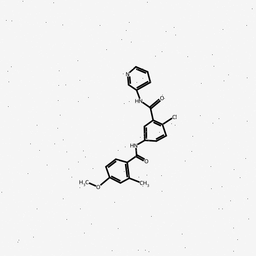 COc1ccc(C(=O)Nc2ccc(Cl)c(C(=O)Nc3cccnc3)c2)c(C)c1